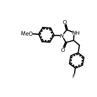 COc1ccc(N2C(=O)NC(Cc3ccc(F)cc3)C2=O)cc1